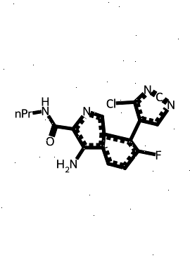 CCCNC(=O)c1ncc2c(-c3cncnc3Cl)c(F)ccc2c1N